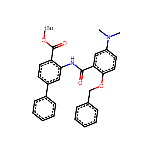 CN(C)c1ccc(OCc2ccccc2)c(C(=O)Nc2cc(-c3ccccc3)ccc2C(=O)OC(C)(C)C)c1